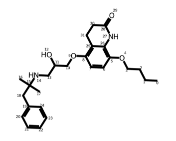 CCCCOc1ccc(OCC(O)CNC(C)(C)Cc2ccccc2)c2c1NC(=O)CC2